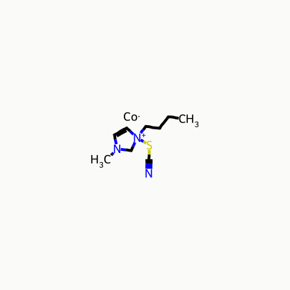 CCCC[N+]1(SC#N)C=CN(C)C1.[Co]